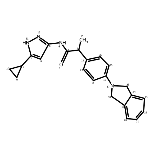 CC(C(=O)Nc1cc(C2CC2)[nH]n1)c1ccc(N2Cc3ccccc3C2)cc1